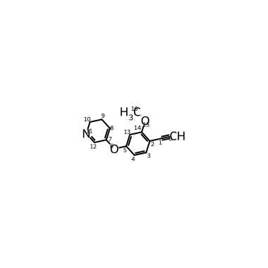 C#Cc1ccc(OC2=CCCN=C2)cc1OC